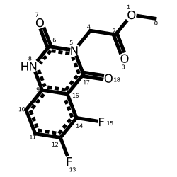 COC(=O)Cn1c(=O)[nH]c2ccc(F)c(F)c2c1=O